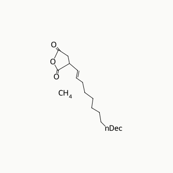 C.CCCCCCCCCCCCCCCCC=CC1CC(=O)OC1=O